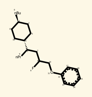 CCCC[C@H]1CC[C@H](C(CCC)CC(F)COc2ccccc2)CC1